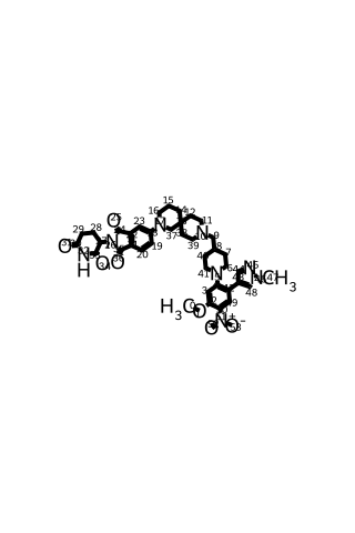 COc1cc(N2CCC(CN3CCC4(CCCN(c5ccc6c(c5)C(=O)N(C5CCC(=O)NC5=O)C6=O)C4)CC3)CC2)c(-c2cnn(C)c2)cc1[N+](=O)[O-]